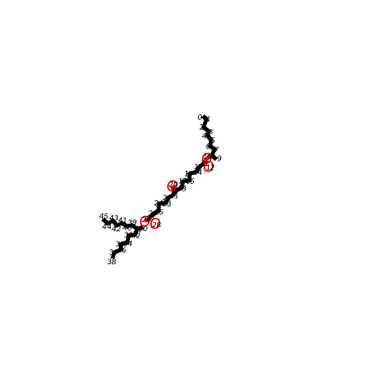 CCCCCCCCC(C)OC(=O)CCCCCCC(=O)CCCCCCC(=O)OCC(CCCCCCC)CCCCCCC